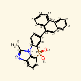 Cc1nc2cccc3c2n1-c1ccc(-c2cc4ccccc4c4ccccc24)cc1S3(=O)=O